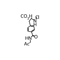 CC(=O)CNC(=O)c1ccc(CC(NCl)C(=O)O)cc1